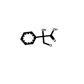 O=C(O)C(O)(CCl)c1ccccc1